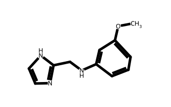 COc1cccc(NCc2ncc[nH]2)c1